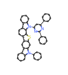 c1ccc(-c2cc(-n3c4ccccc4c4ccc5c6cc7c8ccccc8n(-c8ccccc8)c7cc6sc5c43)nc(-c3ccccc3)n2)cc1